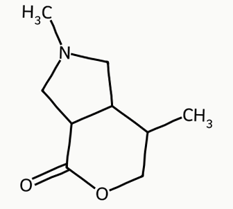 CC1COC(=O)C2CN(C)CC12